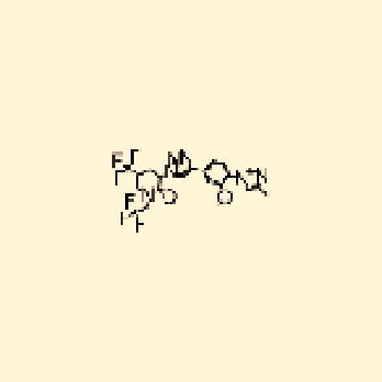 COc1cc(-c2cn([C@@H]3C[C@H](C(F)(F)F)CN(CC(F)(F)F)C3=O)nn2)ccc1-n1cnc(C)c1